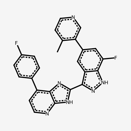 Cc1ccncc1-c1cc(F)c2[nH]nc(-c3nc4c(-c5ccc(F)cc5)ccnc4[nH]3)c2c1